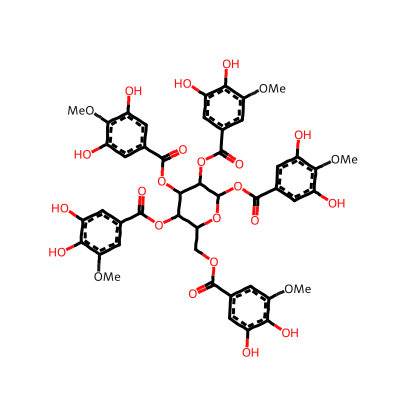 COc1cc(C(=O)OCC2OC(OC(=O)c3cc(O)c(OC)c(O)c3)C(OC(=O)c3cc(O)c(O)c(OC)c3)C(OC(=O)c3cc(O)c(OC)c(O)c3)C2OC(=O)c2cc(O)c(O)c(OC)c2)cc(O)c1O